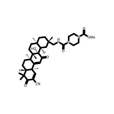 COC(=O)N1CCN(C(=O)NC[C@@]2(C)CC[C@]3(C)CC[C@@]4(C)[C@]5(C)CC[C@H]6C(C)(C)C(=O)C(C#N)=C[C@]6(C)C5=CC(=O)[C@]4(O)[C@@H]3C2)CC1